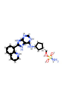 NS(=O)(=O)OC[C@H]1CC[C@H](Nc2ncnc3nc(-c4cccc5cccnc45)[nH]c23)C1